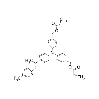 C=CC(=O)OCc1ccc(N(c2ccc(COC(=O)C=C)cc2)c2ccc(C(C)=Cc3ccc(C(F)(F)F)cc3)cc2)cc1